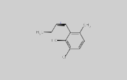 CC/C=C\c1c(C)ccc(Cl)c1O